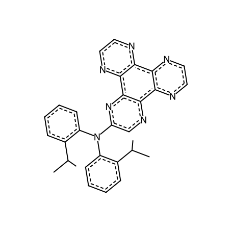 CC(C)c1ccccc1N(c1cnc2c3nccnc3c3nccnc3c2n1)c1ccccc1C(C)C